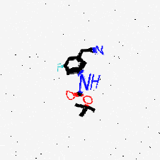 CC(C)(C)OC(=O)Nc1cc(F)cc(CC#N)c1